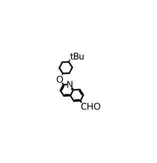 CC(C)(C)[C@H]1CC[C@H](Oc2ccc3cc(C=O)ccc3n2)CC1